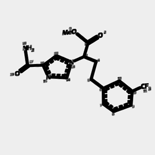 COC(=O)C(CCc1cccc(C(F)(F)F)c1)n1cnc(C(N)=O)c1